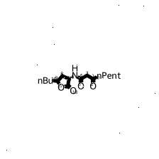 CCCCCC(=O)CC(=O)N[C@H]1CC(CCCC)OC1=O